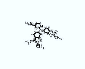 CNc1ccnc(N(c2ccc(CS(C)(=O)=O)cc2)c2ccc3c(C)n(C)nc3c2)n1